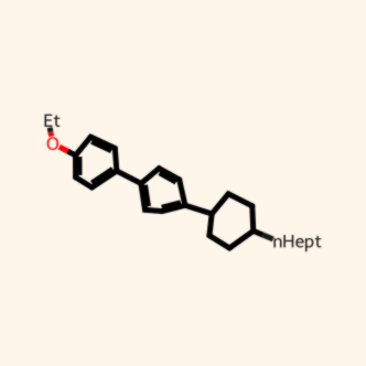 CCCCCCCC1CCC(c2ccc(-c3ccc(OCC)cc3)cc2)CC1